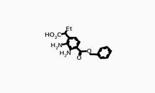 CCC(C(=O)O)c1ccc(C(=O)OCc2ccccc2)c(N)c1N